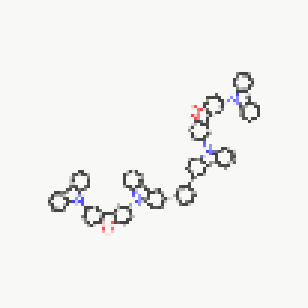 c1cc(-c2ccc3c(c2)c2ccccc2n3-c2ccc3oc4ccc(-n5c6ccccc6c6ccccc65)cc4c3c2)cc(-c2ccc3c(c2)c2ccccc2n3-c2ccc3oc4ccc(-n5c6ccccc6c6ccccc65)cc4c3c2)c1